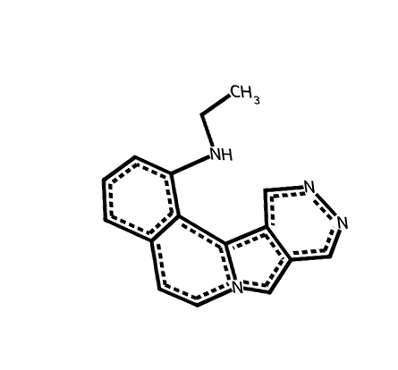 CCNc1cccc2ccn3cc4cnncc4c3c12